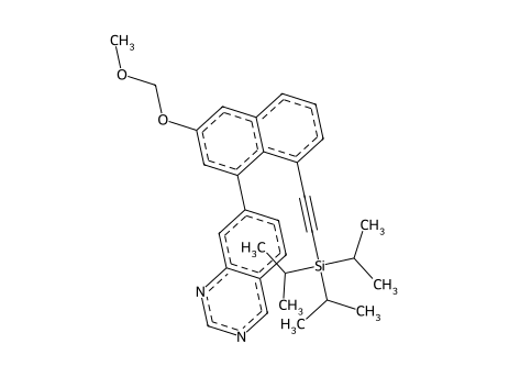 COCOc1cc(-c2ccc3cncnc3c2)c2c(C#C[Si](C(C)C)(C(C)C)C(C)C)cccc2c1